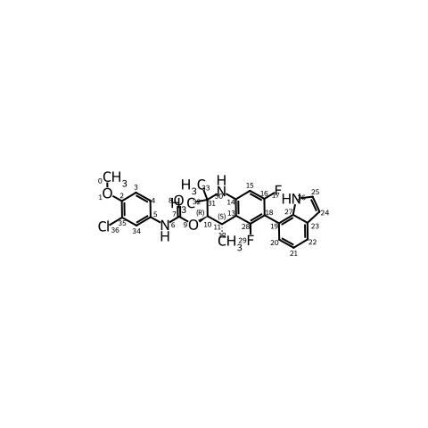 COc1ccc(NC(=O)O[C@@H]2[C@@H](C)c3c(cc(F)c(-c4cccc5cc[nH]c45)c3F)NC2(C)C)cc1Cl